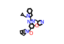 COc1cc(C(=O)N2CC3CC4CC2[C@H]43)cc2nc(-c3cc4ccccc4n3CC3CC3)n(Cc3cccnc3)c12